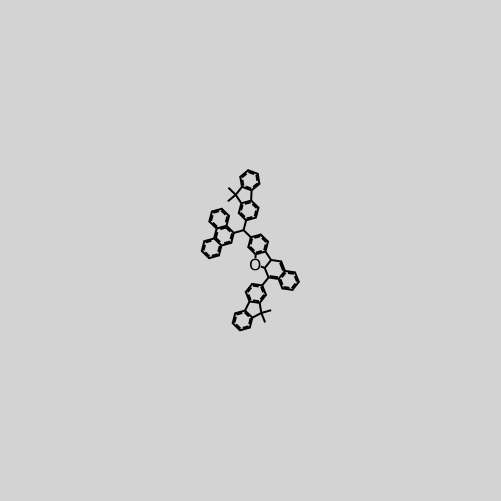 CC1(C)c2ccccc2-c2ccc(C3=c4ccccc4=CC4c5ccc(C(c6ccc7c(c6)C(C)(C)c6ccccc6-7)c6cc7ccccc7c7ccccc67)cc5OC34)cc21